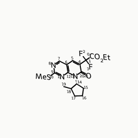 CCOC(=O)C(F)(F)c1cc2cnc(SC)nc2n([C@@H]2CCCC2C)c1=O